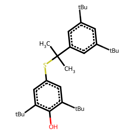 CC(C)(C)c1cc(C(C)(C)C)cc(C(C)(C)Sc2cc(C(C)(C)C)c(O)c(C(C)(C)C)c2)c1